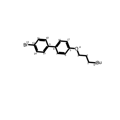 CCC(C)CCCOc1ccc(-c2ccc(Br)cc2)cc1